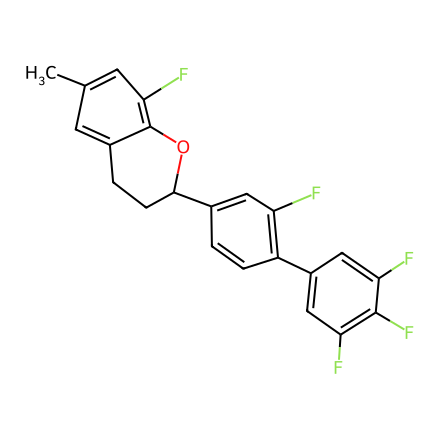 Cc1cc(F)c2c(c1)CCC(c1ccc(-c3cc(F)c(F)c(F)c3)c(F)c1)O2